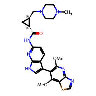 COc1nc2ncsc2c(OC)c1-c1c[nH]c2nc(NC(=O)[C@@H]3C[C@H]3CN3CCN(C)CC3)ccc12